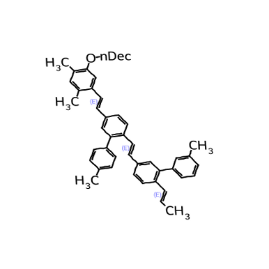 C/C=C/c1ccc(/C=C/c2ccc(/C=C/c3cc(OCCCCCCCCCC)c(C)cc3C)cc2-c2ccc(C)cc2)cc1-c1cccc(C)c1